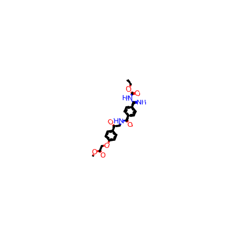 CCOC(=O)NC(=N)c1ccc(C(=O)NCC(=O)c2ccc(OCC(=O)OC)cc2)cc1